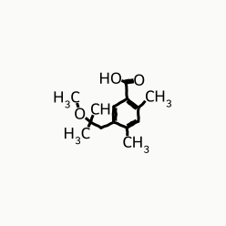 COC(C)(C)Cc1cc(C(=O)O)c(C)cc1C